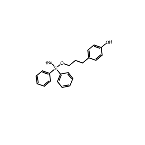 CC(C)(C)[Si](OCCCc1ccc(O)cc1)(c1ccccc1)c1ccccc1